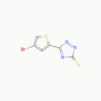 S=C1N=NC(c2cc(Br)cs2)=N1